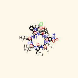 C/C=C/C[C@@H]1NC(=O)[C@H](CC(C)C)N2C=C(C)C[C@@H](C2=O)N(C)C(=O)[C@H](C)NC(=O)[C@H](Cc2ccc3oc(=O)[nH]c3c2)NC(=O)[C@H](CC(C)C)N(C)C(=O)[C@H](Cc2cn(C(C)(C)[C@H](O)CCl)c3ccccc23)NC1=O